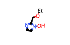 CCOCc1nccn1O